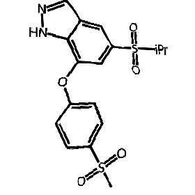 CC(C)S(=O)(=O)c1cc(Oc2ccc(S(C)(=O)=O)cc2)c2[nH]ncc2c1